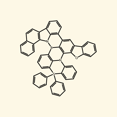 c1ccc(S2(c3ccccc3)c3ccccc3N3c4c(cccc42)B2c4c(cc5c(oc6ccccc65)c43)-c3cccc4c5ccc6ccccc6c5n2c34)cc1